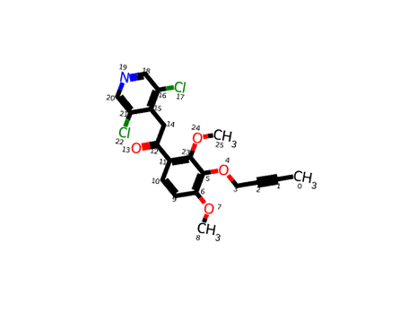 CC#CCOc1c(OC)ccc(C(=O)Cc2c(Cl)cncc2Cl)c1OC